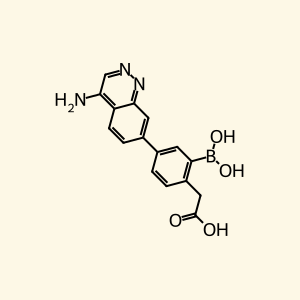 Nc1cnnc2cc(-c3ccc(CC(=O)O)c(B(O)O)c3)ccc12